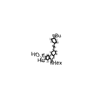 CCCCCCN(Cc1ccc(C#Cc2ccc(CCCC)cc2)cc1)c1ccc(C(=O)O)c(O)c1